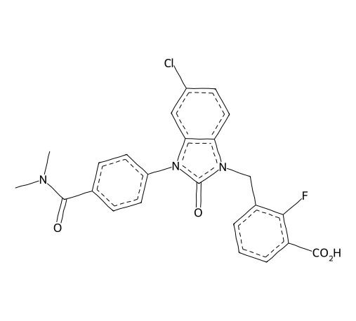 CN(C)C(=O)c1ccc(-n2c(=O)n(Cc3cccc(C(=O)O)c3F)c3ccc(Cl)cc32)cc1